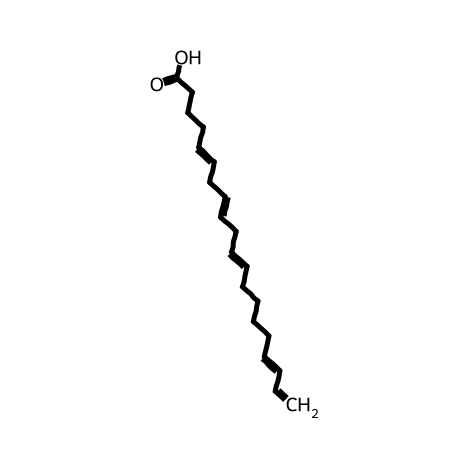 C=CC=CCCCCC=CCC=CCC=CCCCC(=O)O